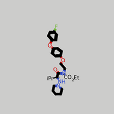 CCOC(=O)N(CCOc1ccc(Oc2ccc(F)cc2)cc1)C(=O)[C@@H](NN1CCCCC1)C(C)C